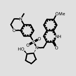 COc1ccc2cc(CN([C@@H]3CCC[C@H]3O)S(=O)(=O)c3ccc4c(c3)OCCN4C)c(=O)[nH]c2c1